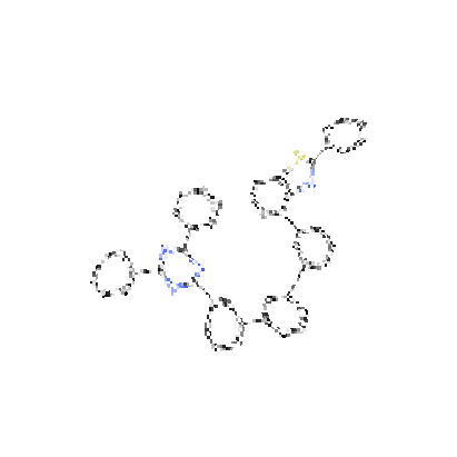 c1ccc(-c2nc(-c3ccccc3)nc(-c3cccc(-c4cccc(-c5cccc(-c6cccc7sc(-c8ccccc8)nc67)c5)c4)c3)n2)cc1